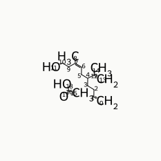 C=CCCC(CC=C(C)CCO)C(=C)C.CC(=O)O